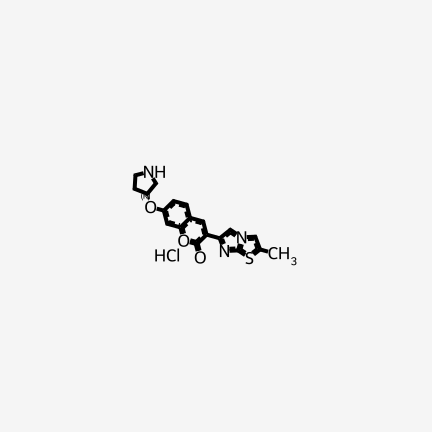 Cc1cn2cc(-c3cc4ccc(O[C@@H]5CCNC5)cc4oc3=O)nc2s1.Cl